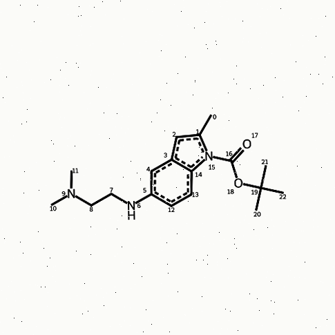 Cc1cc2cc(NCCN(C)C)ccc2n1C(=O)OC(C)(C)C